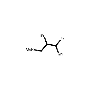 CCCC(CC)C(CNC)C(C)C